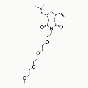 C=CC1CC(C=C(C)C)C2C(=O)N(CCOCCOCCOCCOC)C(=O)C12